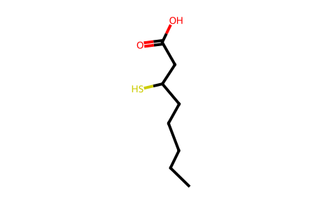 CCCCCC(S)CC(=O)O